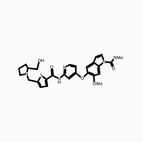 CNC(=O)n1ccc2cc(Oc3ccnc(NC(=O)c4ccc(CN5CCCC5CO)s4)c3)c(OC)cc21